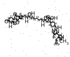 Cn1ncc(-c2nc(N[C@H]3CC[C@H](N(CC(=O)NCCCCNCC(=O)NCc4cc5c(s4)C(=O)N(C4CCC(=O)NC4=O)C5=O)C(=O)O)CC3)ncc2F)c1CC1CC1